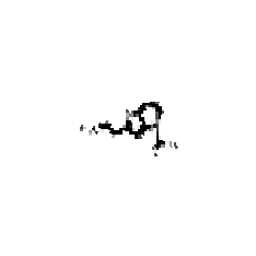 C=CCc1cc2n(C(=O)O)cccc-2n1